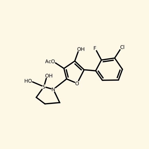 CC(=O)Oc1c(N2CCCS2(O)O)oc(-c2cccc(Cl)c2F)c1O